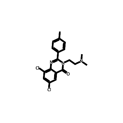 Cc1ccc(-c2nc3c(Cl)cc(Cl)cc3c(=O)n2CCN(C)C)cc1